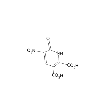 O=C(O)c1cc([N+](=O)[O-])c(=O)[nH]c1C(=O)O